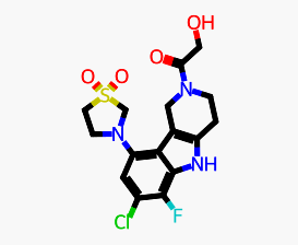 O=C(CO)N1CCc2[nH]c3c(F)c(Cl)cc(N4CCS(=O)(=O)C4)c3c2C1